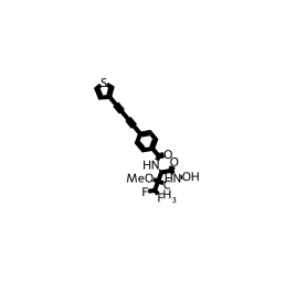 COC(C)(C(F)F)[C@H](NC(=O)c1ccc(C#CC#Cc2ccsc2)cc1)C(=O)NO